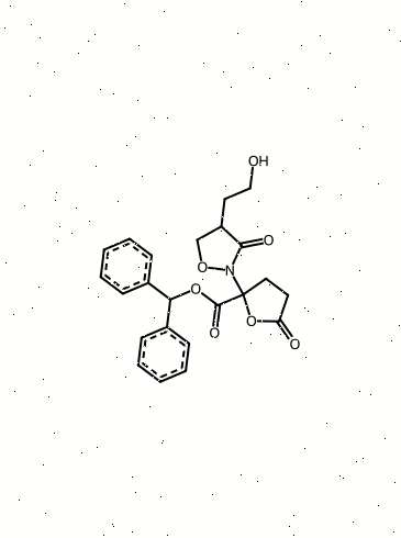 O=C1CCC(C(=O)OC(c2ccccc2)c2ccccc2)(N2OCC(CCO)C2=O)O1